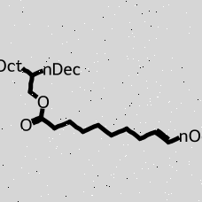 CCCCCCCCC=CCCCCCCCC(=O)OCC(CCCCCCCC)CCCCCCCCCC